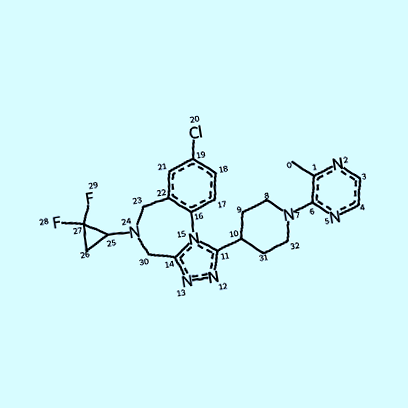 Cc1nccnc1N1CCC(c2nnc3n2-c2ccc(Cl)cc2CN(C2CC2(F)F)C3)CC1